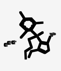 CCCC[Si](C)(C1=[C]([Ti+3])CC=C1CC)c1c(C)cc(C)cc1C.[Cl-].[Cl-].[Cl-]